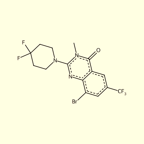 Cn1c(N2CCC(F)(F)CC2)nc2c(Br)cc(C(F)(F)F)cc2c1=O